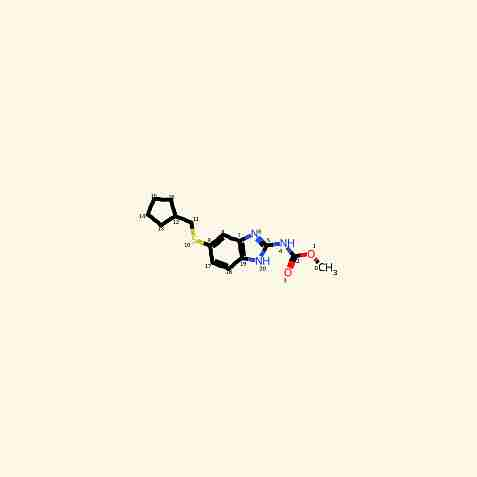 COC(=O)Nc1nc2cc(SCC3CCCC3)ccc2[nH]1